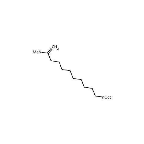 C=C(CCCCCCCCCCCCCCCCC)NC